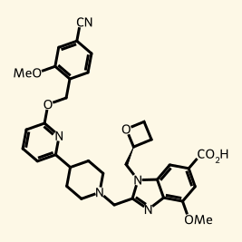 COc1cc(C#N)ccc1COc1cccc(C2CCN(Cc3nc4c(OC)cc(C(=O)O)cc4n3C[C@@H]3CCO3)CC2)n1